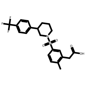 Cc1ccc(S(=O)(=O)N2CCCC(c3ccc(C(F)(F)F)cc3)C2)cc1CC(=O)O